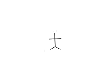 CCCC(O)C(C)(C)O